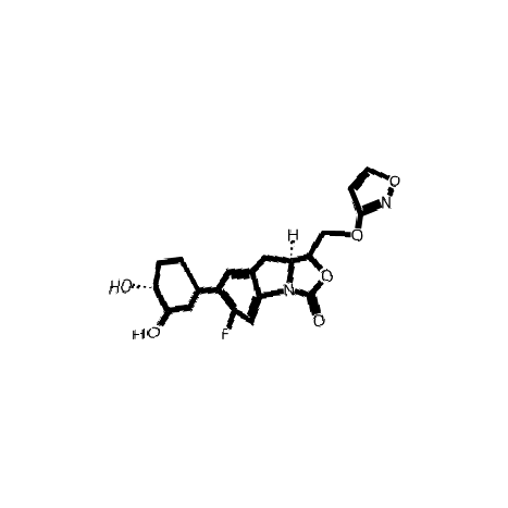 O=C1OC(COc2ccon2)[C@@H]2Cc3cc(C4CC[C@@H](O)C(O)C4)c(F)cc3N12